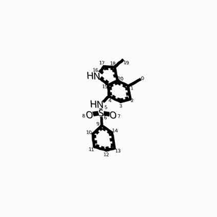 Cc1ccc(NS(=O)(=O)c2ccccc2)c2[nH]cc(C)c12